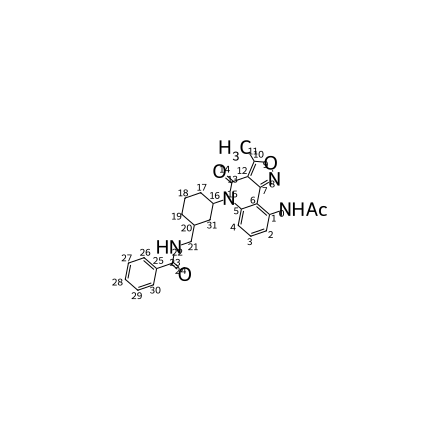 CC(=O)Nc1cccc2c1c1noc(C)c1c(=O)n2C1CCCC(CNC(=O)c2ccccc2)C1